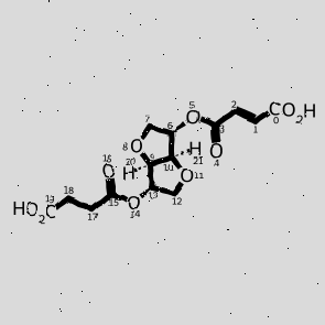 O=C(O)C=CC(=O)O[C@@H]1CO[C@H]2[C@@H]1OC[C@H]2OC(=O)CCC(=O)O